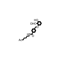 CC(=O)CCCCCNC(=O)c1ccc(COc2cccc(O)c2C=O)cc1